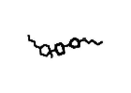 CCCCOc1ccc(-c2ccc(C3(F)CCC(CCCC)CC3)cc2)cc1